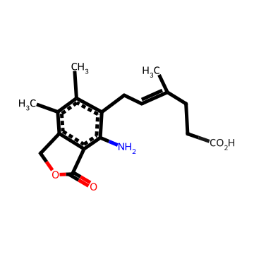 C/C(=C\Cc1c(C)c(C)c2c(c1N)C(=O)OC2)CCC(=O)O